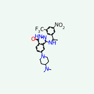 C[C@@H](Nc1n[nH]c(=O)c2ccc(N3CCC(N(C)C)CC3)cc12)c1cc([N+](=O)[O-])cc(C(F)(F)F)c1